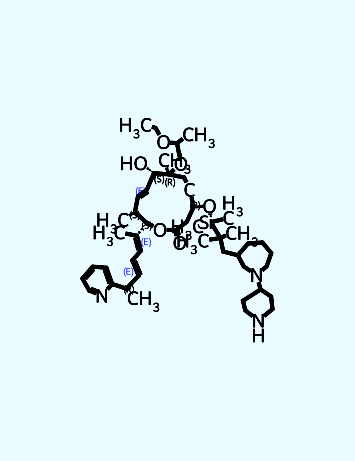 CCOC(C)O[C@]1(C)CC[C@@H](O[Si](C)(C)C(C)(C)CC2CCCCN(C3CCNCC3)C2)CC(=O)O[C@H](/C(C)=C/C=C/[C@@H](C)c2ccccn2)[C@@H](C)/C=C/[C@@H]1O